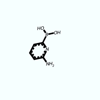 Nc1cccc(B(O)O)n1